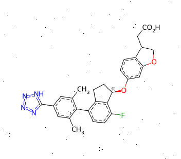 Cc1cc(-c2nnn[nH]2)cc(C)c1-c1ccc(F)c2c1CC[C@H]2Oc1ccc2c(c1)OCC2CC(=O)O